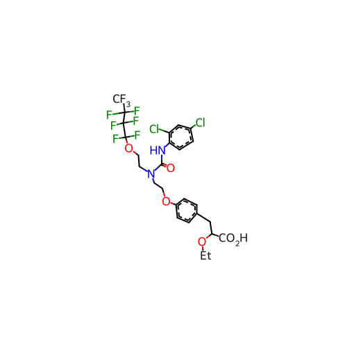 CCOC(Cc1ccc(OCCN(CCOC(F)(F)C(F)(F)C(F)(F)C(F)(F)F)C(=O)Nc2ccc(Cl)cc2Cl)cc1)C(=O)O